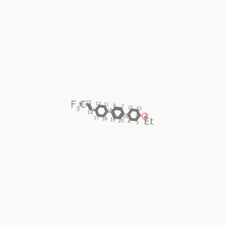 CCO[C@H]1CC[C@H](c2ccc([C@H]3CC[C@H](C=CC(F)(F)F)CC3)cc2)CC1